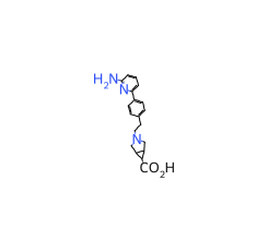 Nc1cccc(-c2ccc(CCN3CC4C(C3)C4C(=O)O)cc2)n1